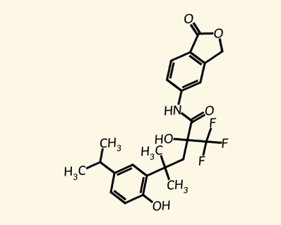 CC(C)c1ccc(O)c(C(C)(C)CC(O)(C(=O)Nc2ccc3c(c2)COC3=O)C(F)(F)F)c1